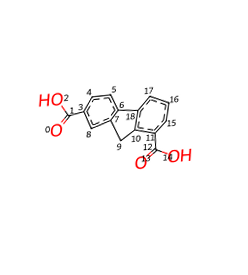 O=C(O)c1ccc2c(c1)Cc1c(C(=O)O)cccc1-2